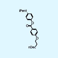 CCCCCCCCCCCCOc1ccc(C(=O)Oc2ccc([C@@H](C)CCC)cc2)cc1